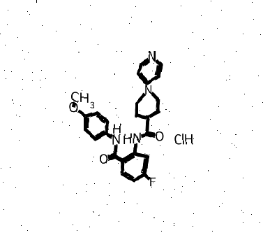 COc1ccc(NC(=O)c2ccc(F)cc2NC(=O)C2CCN(c3ccncc3)CC2)cc1.Cl